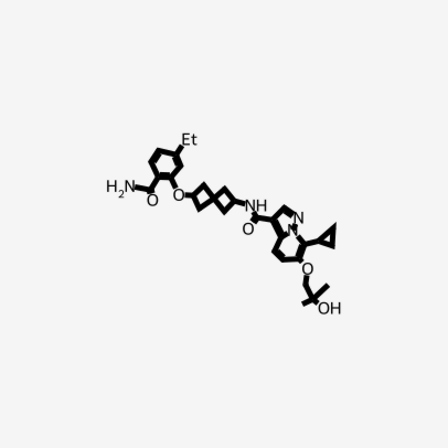 CCc1ccc(C(N)=O)c(OC2CC3(CC(NC(=O)c4cnn5c(C6CC6)c(OCC(C)(C)O)ccc45)C3)C2)c1